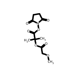 COCC(=O)OC(C)(C)C(=O)ON1C(=O)CCC1=O